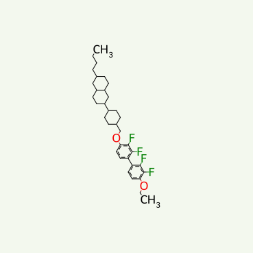 CCCCC1CCC2CC(C3CCC(COc4ccc(-c5ccc(OCC)c(F)c5F)c(F)c4F)CC3)CCC2C1